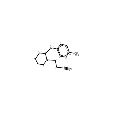 C#CCCN1CCCCC1Oc1ccc(C(F)(F)F)cc1